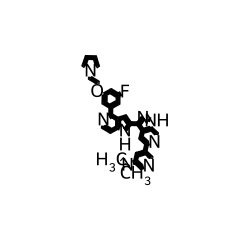 CN(C)c1cncc(-c2cc3c(-c4cc5c(-c6cc(F)cc(OCCN7CCCC7)c6)nccc5[nH]4)n[nH]c3cn2)c1